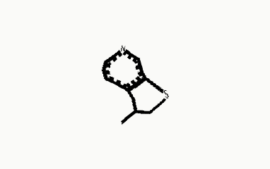 CC1CSc2cnccc21